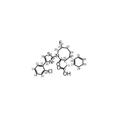 O=C(O)C[C@@H]1C(=O)N(c2nc(-c3ccccc3Cl)cs2)CC(F)CC[C@@H]1C1=CCCC=C1